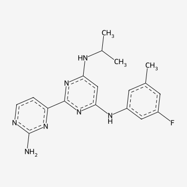 Cc1cc(F)cc(Nc2cc(NC(C)C)nc(-c3ccnc(N)n3)n2)c1